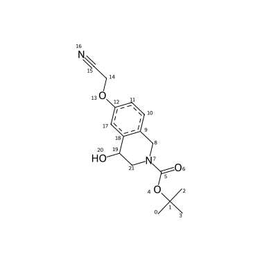 CC(C)(C)OC(=O)N1Cc2ccc(OCC#N)cc2C(O)C1